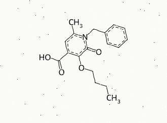 CCCCOc1c(C(=O)O)cc(C)n(Cc2ccccc2)c1=O